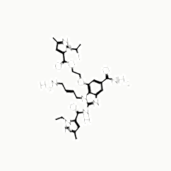 CCn1nc(C)cc1C(=O)Nc1nc2cc(C(N)=O)cc(OCCOC(=O)c3cc(C)nn3C(C)I)c2n1CC=CCN